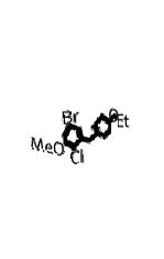 CCOc1ccc(Cc2cc(Br)cc(OC)c2Cl)cc1